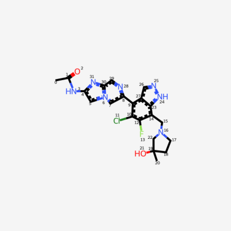 CC(=O)Nc1cn2cc(-c3c(Cl)c(F)c(CN4CCC(C)(O)C4)c4[nH]ncc34)ncc2n1